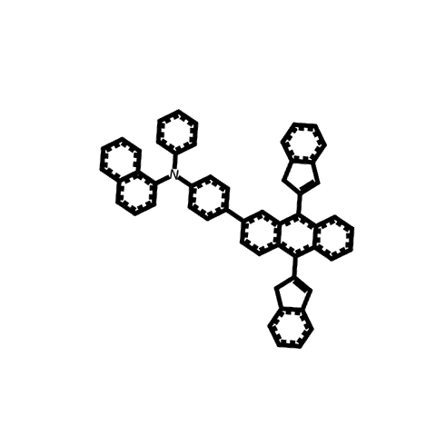 C1=C(c2c3ccccc3c(C3=Cc4ccccc4C3)c3cc(-c4ccc(N(c5ccccc5)c5cccc6ccccc56)cc4)ccc23)Cc2ccccc21